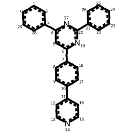 c1ccc(-c2cc(-c3ccc(-c4ccncc4)cc3)nc(-c3ccccc3)n2)cc1